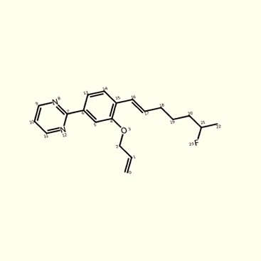 C=CCOc1cc(-c2ncccn2)ccc1C=CCCCC(C)F